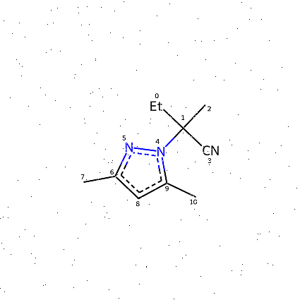 CCC(C)(C#N)n1nc(C)cc1C